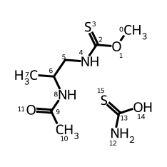 COC(=S)NCC(C)NC(C)=O.NC(O)=S